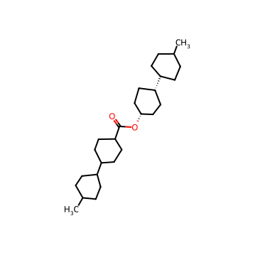 CC1CCC(C2CCC(C(=O)O[C@H]3CC[C@@H](C4CCC(C)CC4)CC3)CC2)CC1